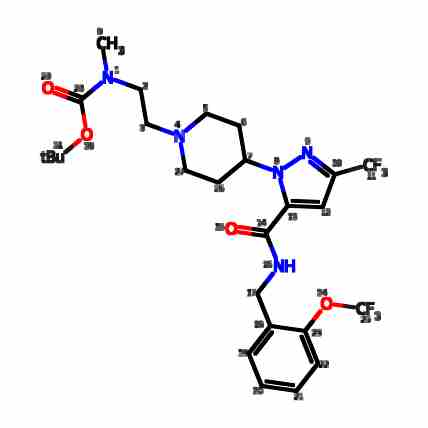 CN(CCN1CCC(n2nc(C(F)(F)F)cc2C(=O)NCc2ccccc2OC(F)(F)F)CC1)C(=O)OC(C)(C)C